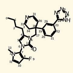 CCCCc1cn(-c2c(F)ccn2C)c(=O)n1CC1(c2cccc(-c3nnn[nH]3)c2)C=CN=CC1